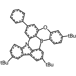 CC(C)(C)c1ccc2c(c1)Oc1cc(-c3ccccc3)cc3c1B2c1cc(C(C)(C)C)cc2c4cc(C(C)(C)C)ccc4n-3c12